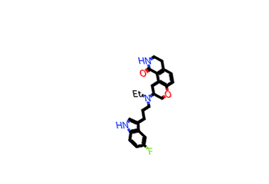 CCN(CCCc1c[nH]c2ccc(F)cc12)C1COc2ccc3c(c2C1)C(=O)NCC3